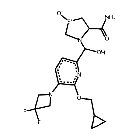 NC(=O)C1C[S+]([O-])CN1C(O)c1ccc(N2CC(F)(F)C2)c(OCC2CC2)n1